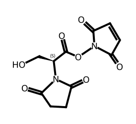 O=C(ON1C(=O)C=CC1=O)[C@H](CO)N1C(=O)CCC1=O